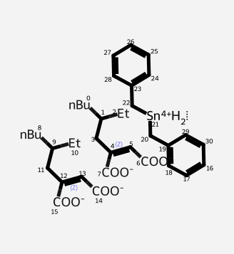 CCCCC(CC)C/C(=C/C(=O)[O-])C(=O)[O-].CCCCC(CC)C/C(=C/C(=O)[O-])C(=O)[O-].c1ccc([CH2][SnH2+4][CH2]c2ccccc2)cc1